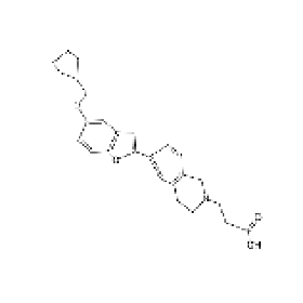 O=C(O)CCN1CCc2cc(-c3cc4cc(OCC5CCCC5)ccc4o3)ccc2C1